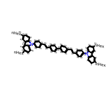 CCCCCCc1ccc2c(c1)c1cc(CCCCCC)ccc1n2-c1ccc(/C=C/c2ccc(-c3ccc(/C=C/c4ccc(-n5c6ccc(CCCCCC)cc6c6cc(CCCCCC)ccc65)cc4)cc3)cc2)cc1